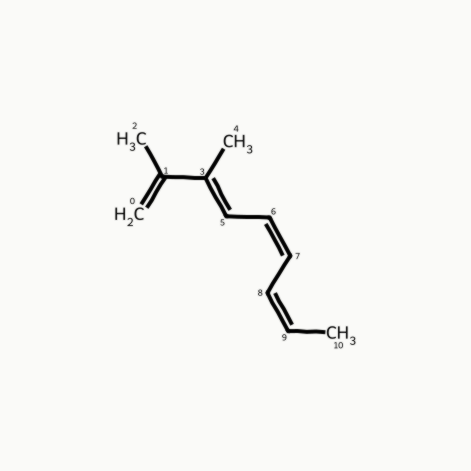 C=C(C)/C(C)=C/C=C\C=C/C